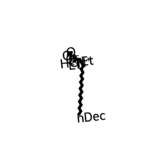 CCCCCCCCCCCCCCCCCCCCCCCCCC[N+](CC)(CC)CC(O)CS(=O)(=O)[O-]